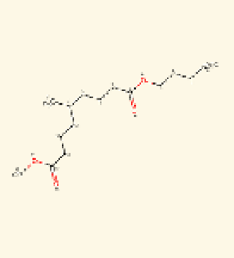 CCCCCCCCCCCCCOC(=O)CCCC(C)CCCC(=O)OCCC